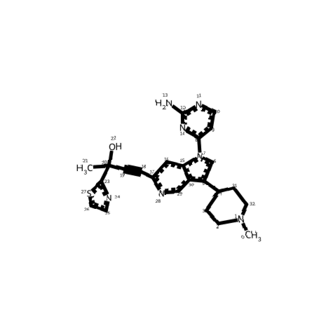 CN1CCC(c2cn(-c3ccnc(N)n3)c3cc(C#CC(C)(O)c4nccs4)ncc23)CC1